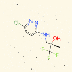 C[C@](O)(CNc1ccc(Cl)nn1)C(F)(F)F